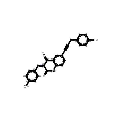 O=C1Nc2ccc(C#CCc3ccc(F)cc3)cc2C(=O)/C1=C/c1ccc(Cl)cc1